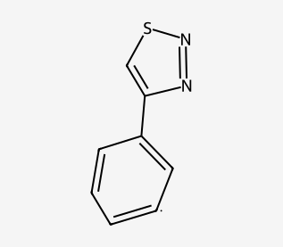 [c]1cccc(-c2csnn2)c1